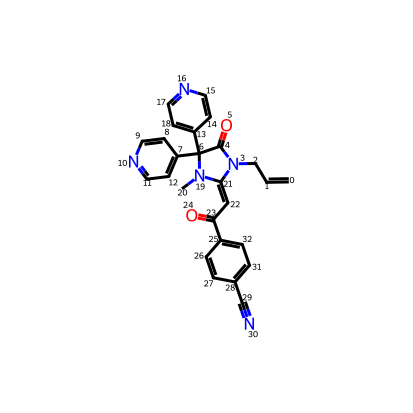 C=CCN1C(=O)C(c2ccncc2)(c2ccncc2)N(C)C1=CC(=O)c1ccc(C#N)cc1